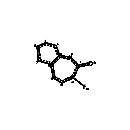 O=c1nc2ccccc2ccc1F